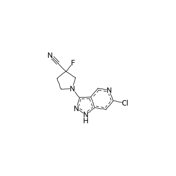 N#CC1(F)CCN(c2n[nH]c3cc(Cl)ncc23)C1